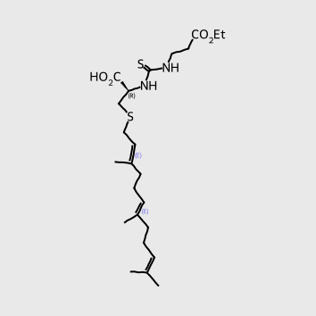 CCOC(=O)CCNC(=S)N[C@@H](CSC/C=C(\C)CC/C=C(\C)CCC=C(C)C)C(=O)O